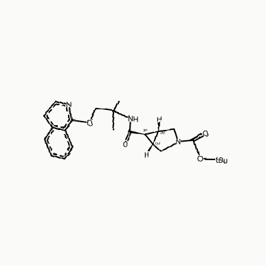 CC(C)(COc1nccc2ccccc12)NC(=O)[C@H]1[C@@H]2CN(C(=O)OC(C)(C)C)C[C@@H]21